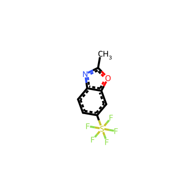 Cc1nc2ccc(S(F)(F)(F)(F)F)cc2o1